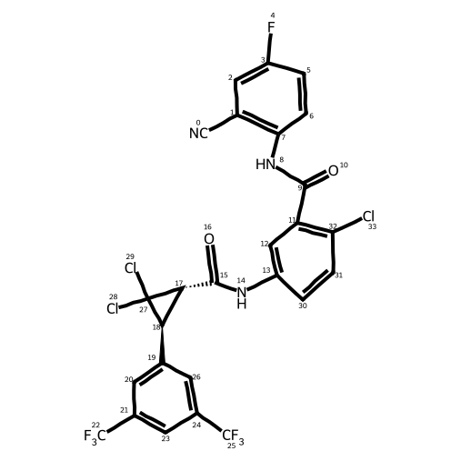 N#Cc1cc(F)ccc1NC(=O)c1cc(NC(=O)[C@@H]2[C@@H](c3cc(C(F)(F)F)cc(C(F)(F)F)c3)C2(Cl)Cl)ccc1Cl